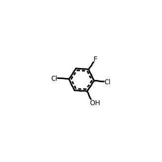 Oc1cc(Cl)cc(F)c1Cl